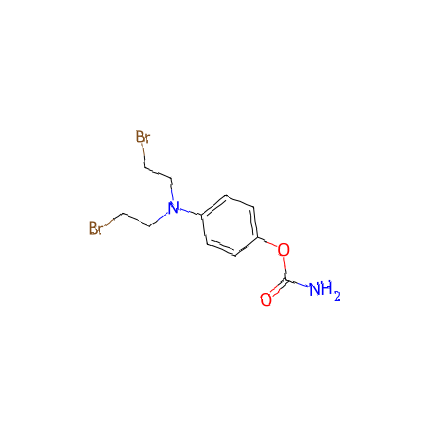 NC(=O)Oc1ccc(N(CCBr)CCBr)cc1